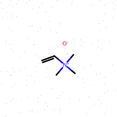 C=C[N+](C)(C)C.[O-]